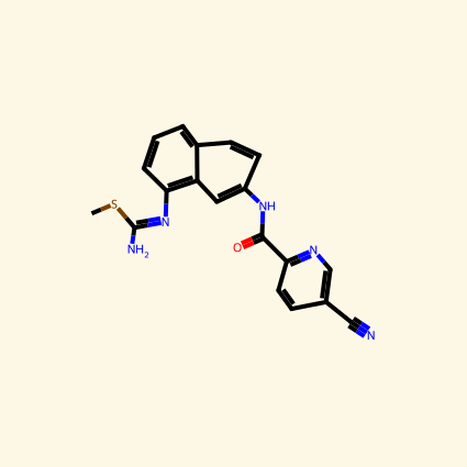 CS/C(N)=N\c1cccc2ccc(NC(=O)c3ccc(C#N)cn3)cc12